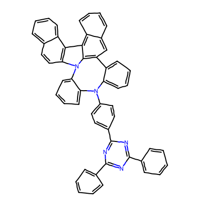 c1ccc(-c2nc(-c3ccccc3)nc(-c3ccc(-n4c5ccccc5c5cc6ccccc6c6c7c8ccccc8ccc7n(c7ccccc74)c56)cc3)n2)cc1